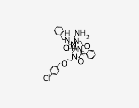 NCN1CC(=O)N2[C@@H](c3ccccc3)C(=O)N(CCOCc3ccc(Cl)cc3)C[C@@H]2N1C(=O)NCc1ccccc1